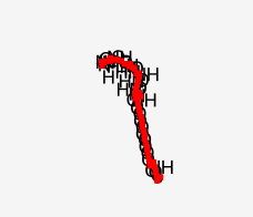 Cn1cc(NC(=O)CCNC(=O)c2cc(NC(=O)c3nc(NC(=O)CCNC(=O)c4cc(NC(=O)c5nccn5C)c[nH]4)cn3C)c[nH]2)nc1C(=O)NCCOCCOCCOCCOCCOCCOCCOCCOCCOc1ccc(NC(=O)OCc2ccccc2)cc1